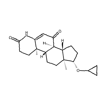 C[C@]12CC[C@H]3[C@@H](C(=O)C=C4NC(=O)CC[C@@]43C)[C@@H]1CC[C@@H]2OC1CC1